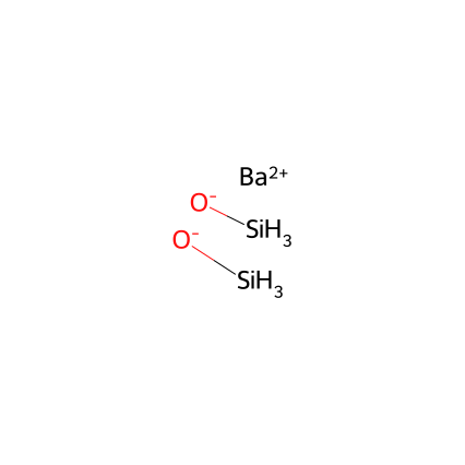 [Ba+2].[O-][SiH3].[O-][SiH3]